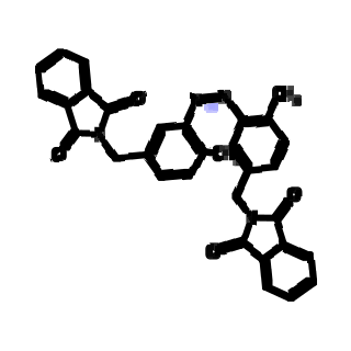 Cc1ccc(CN2C(=O)c3ccccc3C2=O)cc1/N=N\c1cc(CN2C(=O)c3ccccc3C2=O)ccc1C